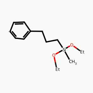 CCO[Si](C)(CCCc1cc[c]cc1)OCC